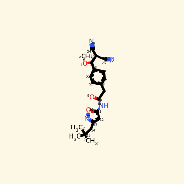 COC(c1ccc(CC(=O)Nc2cc(CC(C)(C)C)no2)cc1)C(C#N)C#N